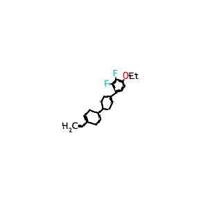 C=CC1=CCC(C2CC=C(c3ccc(OCC)c(F)c3F)CC2)CC1